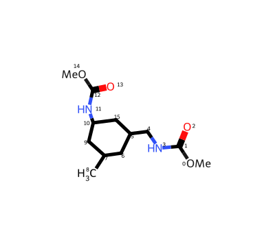 COC(=O)NCC1CC(C)CC(NC(=O)OC)C1